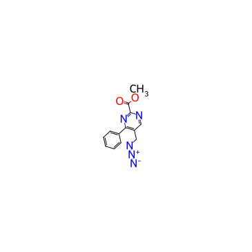 COC(=O)c1ncc(CN=[N+]=[N-])c(-c2ccccc2)n1